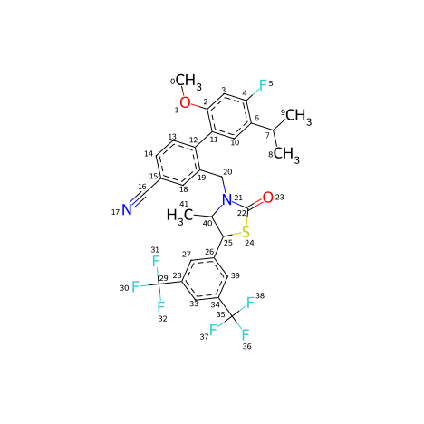 COc1cc(F)c(C(C)C)cc1-c1ccc(C#N)cc1CN1C(=O)SC(c2cc(C(F)(F)F)cc(C(F)(F)F)c2)C1C